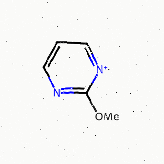 COC1=NC=CC=[N+]1